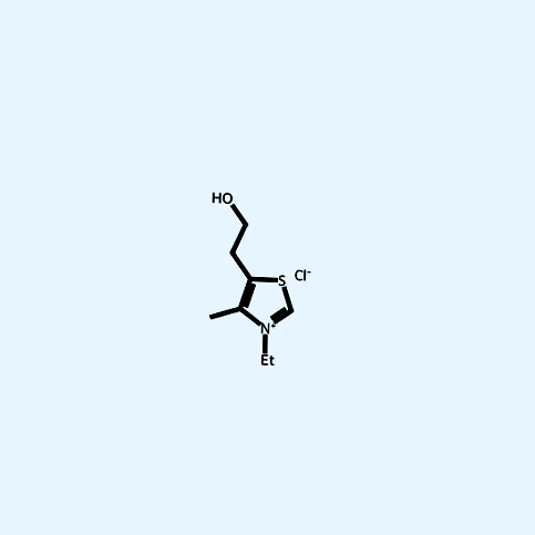 CC[n+]1csc(CCO)c1C.[Cl-]